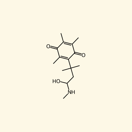 CNC(O)CC(C)(C)C1=C(C)C(=O)C(C)=C(C)C1=O